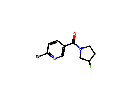 CCc1ccc(C(=O)N2CCC(F)C2)cn1